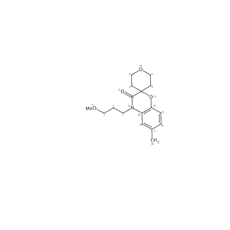 COCCCN1C(=O)C2(CCOCC2)Oc2ccc(C)cc21